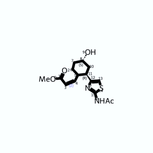 COC(=O)/C=C\C1CC[C@H](O)C[C@H]1c1csc(NC(C)=O)n1